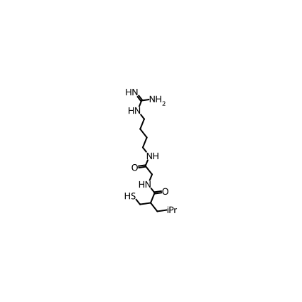 CC(C)CC(CS)C(=O)NCC(=O)NCCCCNC(=N)N